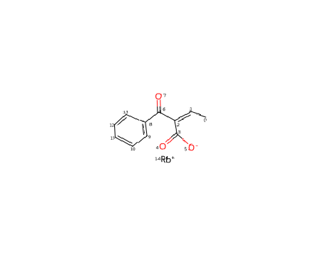 CC=C(C(=O)[O-])C(=O)c1ccccc1.[Rb+]